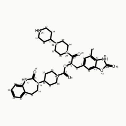 Cc1cc(C[C@@H](OC(=O)N2CCC(N3CCc4ccccc4NC3=O)CC2)C(=O)N2CCN(C3CCNCC3)CC2)cc2oc(=O)[nH]c12